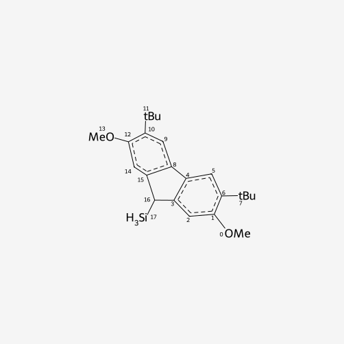 COc1cc2c(cc1C(C)(C)C)-c1cc(C(C)(C)C)c(OC)cc1C2[SiH3]